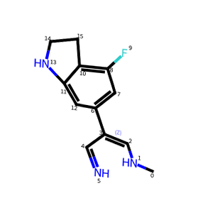 CN/C=C(\C=N)c1cc(F)c2c(c1)NCC2